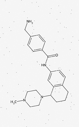 CN1CCN(C2CCCc3ccc(NC(=O)c4ccc(CN)cc4)cc32)CC1